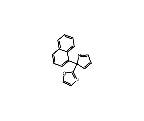 C1=CC(c2ncco2)(c2cccc3ccccc23)N=C1